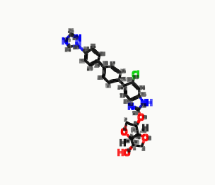 O[C@@H]1CO[C@H]2[C@@H]1OC[C@H]2Oc1nc2cc(-c3ccc(-c4ccc(-n5cncn5)cc4)cc3)c(Cl)cc2[nH]1